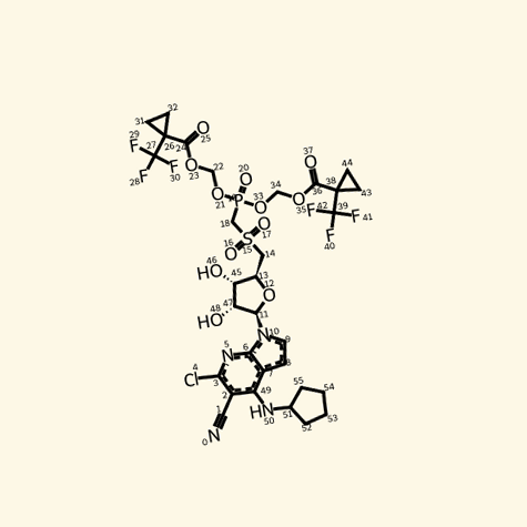 N#Cc1c(Cl)nc2c(ccn2[C@@H]2O[C@H](CS(=O)(=O)CP(=O)(OCOC(=O)C3(C(F)(F)F)CC3)OCOC(=O)C3(C(F)(F)F)CC3)[C@@H](O)[C@H]2O)c1NC1CCCC1